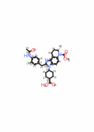 COC(=O)N1c2ccc3c(nc(Cc4ccc(NC(C)=O)c(F)c4)n3C3CCC(C(=O)O)CC3)c2CC[C@@H]1C